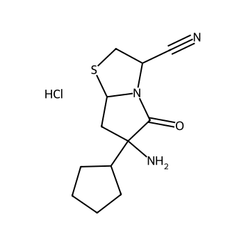 Cl.N#CC1CSC2CC(N)(C3CCCC3)C(=O)N12